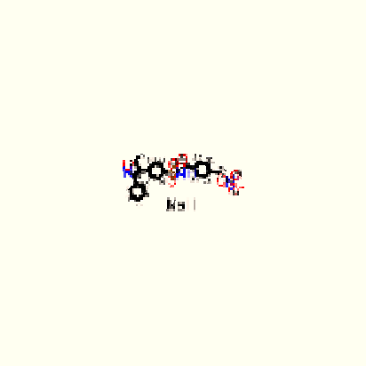 Cc1onc(-c2ccccc2)c1-c1ccc(S(=O)(=O)NC(=O)c2ccc(CO[N+](=O)[O-])cc2)cc1.[NaH]